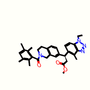 CCn1nnc2c(C)c([C@@H](CC(=O)OC)c3ccc4c(c3)CN(C(=O)c3c(C)c(C)cc(C)c3C)CC4)ccc21